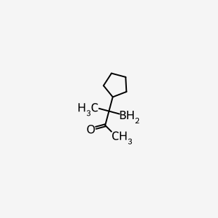 BC(C)(C(C)=O)C1CCCC1